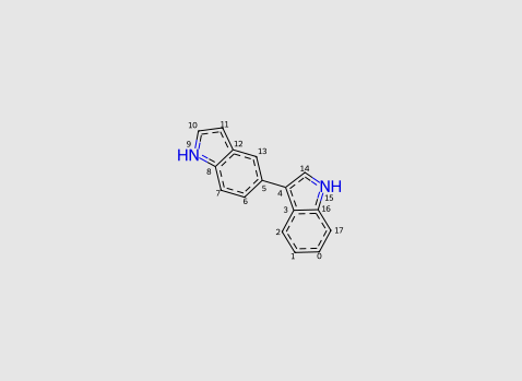 c1ccc2c(-c3ccc4[nH]ccc4c3)c[nH]c2c1